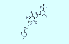 Cc1ccc(OCCCNC(=O)c2cc(-c3cc(F)cc(C(F)(F)F)c3)n(C)c(=O)c2O)cc1